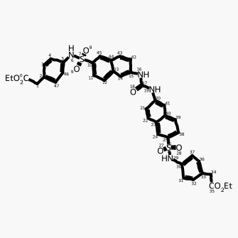 CCOC(=O)Cc1ccc(NS(=O)(=O)c2ccc3cc(NC(=O)Nc4ccc5cc(S(=O)(=O)Nc6ccc(CC(=O)OCC)cc6)ccc5c4)ccc3c2)cc1